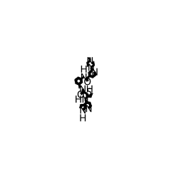 CN1CCN(c2cc(C(=O)Nc3cccc(CNC(=O)c4sccc4Nc4ccnc5[nH]ccc45)c3)ccn2)CC1